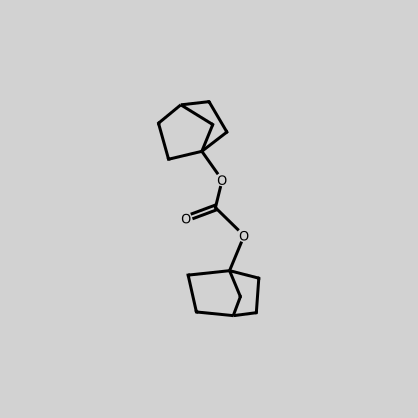 O=C(OC12CCC(CC1)C2)OC12CCC(CC1)C2